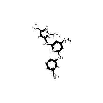 Cc1cc(Oc2cccc(C(F)(F)F)c2)nc(Oc2cc(C(F)(F)F)nn2C)c1